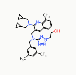 Cc1cccc2cc(CN(Cc3cc(C(F)(F)F)cc(C(F)(F)F)c3)c3nnn(CCO)n3)c(N(CC3CC3)CC3CC3)nc12